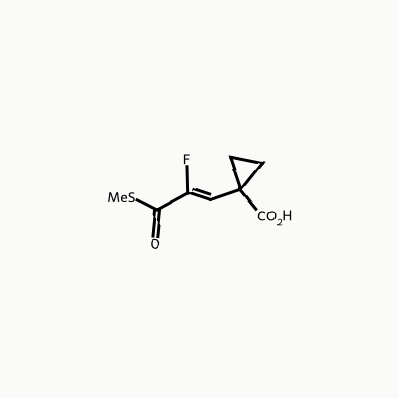 CSC(=O)C(F)=CC1(C(=O)O)CC1